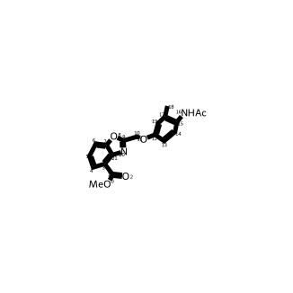 COC(=O)c1cccc2oc(COc3ccc(NC(C)=O)c(C)c3)nc12